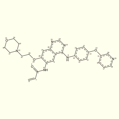 C=CC(=O)Nc1cc2c(Nc3ccc(Oc4cccnc4)cc3)ncnc2cc1OCCN1CCOCC1